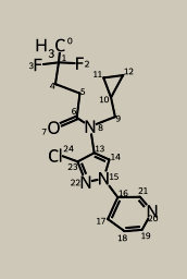 CC(F)(F)CCC(=O)N(CC1CC1)c1cn(-c2cccnc2)nc1Cl